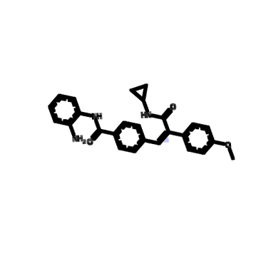 COc1ccc(/C(=C/c2ccc(C(=O)Nc3ccccc3N)cc2)C(=O)NC2CC2)cc1